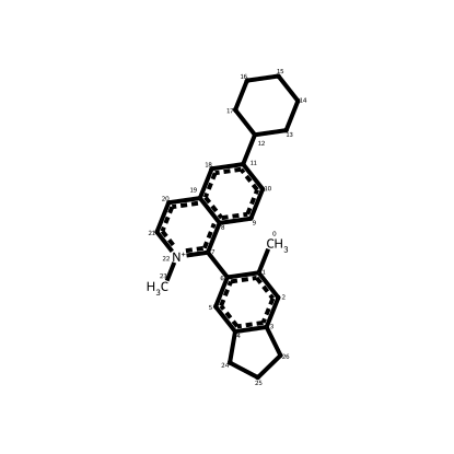 Cc1cc2c(cc1-c1c3ccc(C4CCCCC4)cc3cc[n+]1C)CCC2